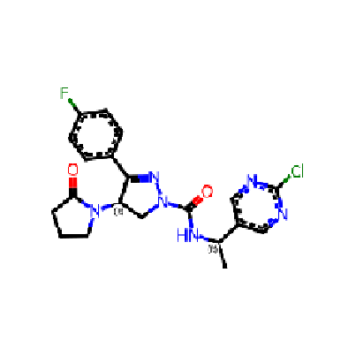 C[C@@H](NC(=O)N1C[C@@H](N2CCCC2=O)C(c2ccc(F)cc2)=N1)c1cnc(Cl)nc1